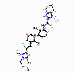 Cc1c(C=C(F)c2nc3c(n2C)CCN(C(C)C)C3)cccc1-c1cccc(NC(=O)c2nc3c(n2C)CCNC3)c1C